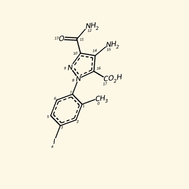 Cc1cc(I)ccc1-n1nc(C(N)=O)c(N)c1C(=O)O